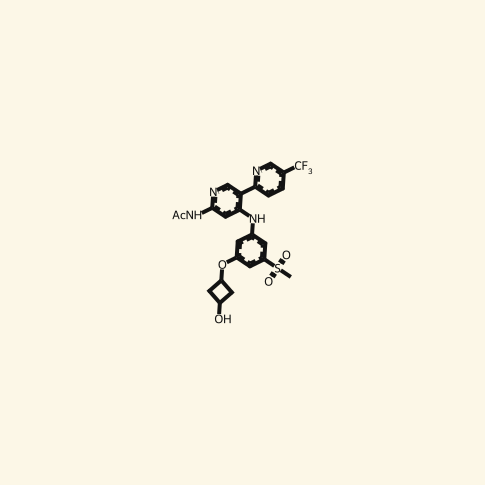 CC(=O)Nc1cc(Nc2cc(OC3CC(O)C3)cc(S(C)(=O)=O)c2)c(-c2ccc(C(F)(F)F)cn2)cn1